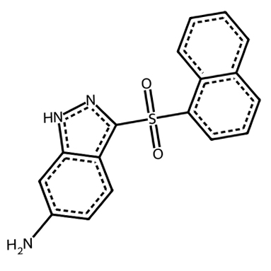 Nc1ccc2c(S(=O)(=O)c3cccc4ccccc34)n[nH]c2c1